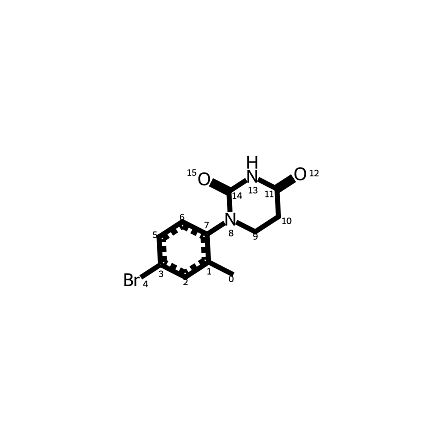 Cc1cc(Br)ccc1N1CCC(=O)NC1=O